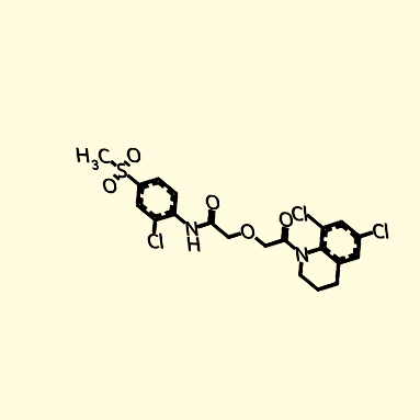 CS(=O)(=O)c1ccc(NC(=O)COCC(=O)N2CCCc3cc(Cl)cc(Cl)c32)c(Cl)c1